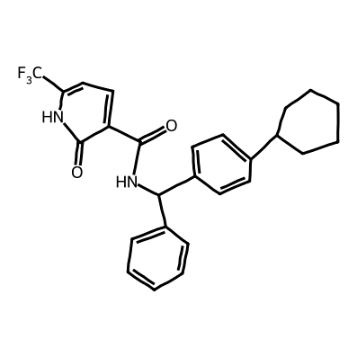 O=C(NC(c1ccccc1)c1ccc(C2CCCCC2)cc1)c1ccc(C(F)(F)F)[nH]c1=O